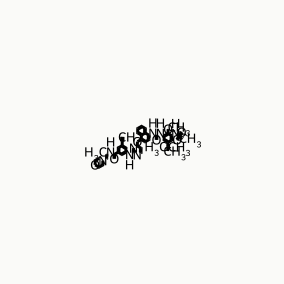 C#Cc1cc(Nc2nccc(Oc3ccc(NC(=O)Nc4cc(C(C)(C)C)cc(NS(C)(=O)=O)c4OC)c4ccccc34)n2)cc(C(=O)NC(C)CN2CCOCC2)c1